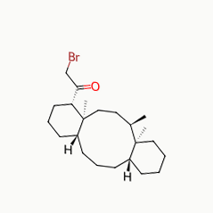 C[C@@H]1CC[C@@]2(C)[C@H](CCC[C@H]3CCCC[C@@]31C)CCC[C@@H]2C(=O)CBr